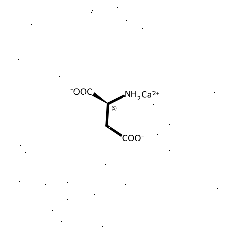 N[C@@H](CC(=O)[O-])C(=O)[O-].[Ca+2]